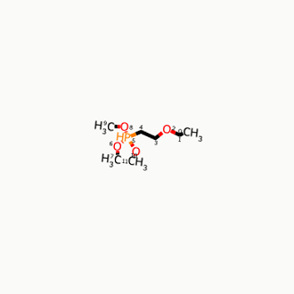 CCOCC[PH](OC)(OC)OC